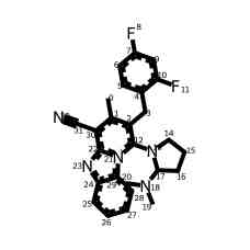 Cc1c(Cc2ccc(F)cc2F)c(N2CCCC2N(C)C)n2c(nc3ccccc32)c1C#N